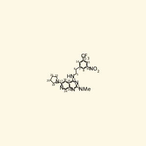 CNc1nc(NCCc2cc([N+](=O)[O-])cc(C(F)(F)F)c2)c2cc(N3CCCC3)ncc2n1